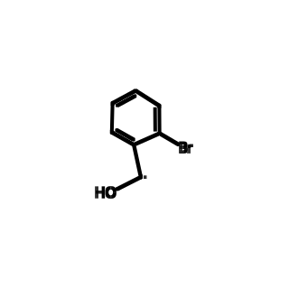 O[CH]c1ccccc1Br